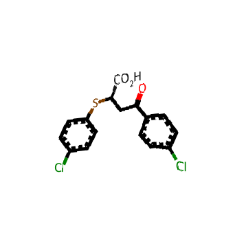 O=C(CC(Sc1ccc(Cl)cc1)C(=O)O)c1ccc(Cl)cc1